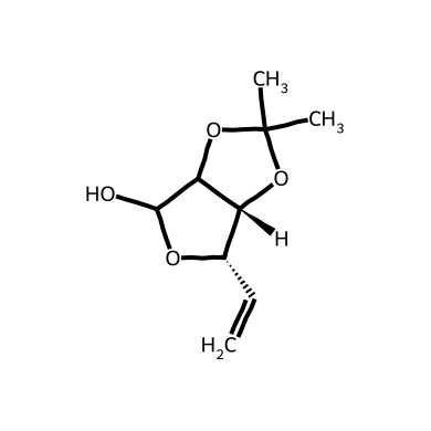 C=C[C@@H]1OC(O)C2OC(C)(C)O[C@@H]21